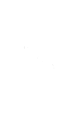 CCCCCCC(C(=O)O)C(CCC)OOCC(C)CC(C)O